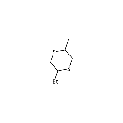 CCC1CSC(C)CS1